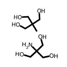 CC(CO)(CO)CO.NC(CO)(CO)CO